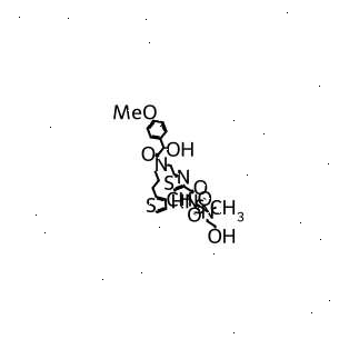 COc1ccc([C@@H](O)C(=O)N(CCCc2cccs2)Cc2nc(C(=O)NS(=O)(=O)N(C)CCO)c(C)s2)cc1